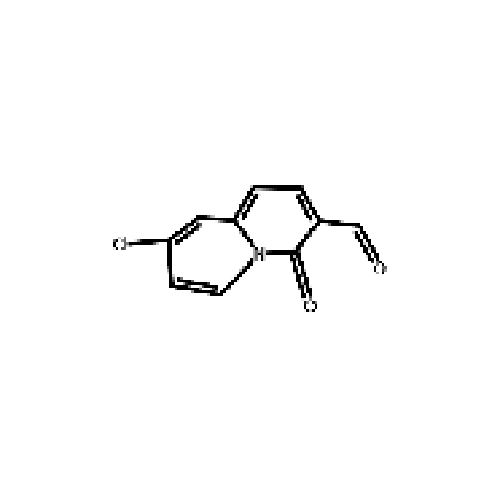 O=Cc1ccc2cc(Cl)ccn2c1=O